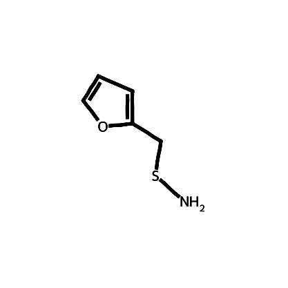 NSCc1ccco1